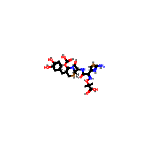 CC(C)(O/N=C(\C(=O)NC1C(=O)N2C(OC(=O)O)=C(Cc3ccc(O)c(O)c3)CS[C@@H]12)c1csc(N)n1)C(=O)O